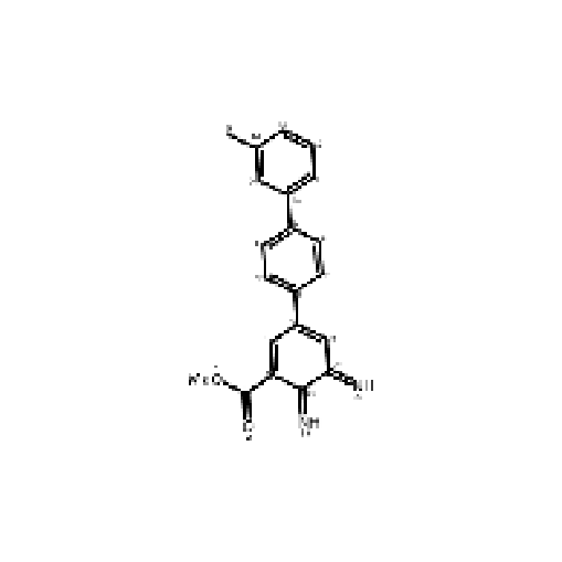 COC(=O)C1=CC(c2ccc(-c3cccc(C)c3)cc2)=CC(=N)C1=N